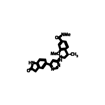 CNC(=O)c1ccc([C@H](C)CNc2cc(-c3ccc4c(c3)CC(=O)N4)ncn2)c(OC)c1